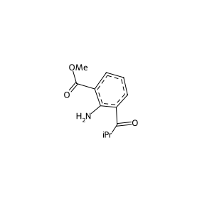 COC(=O)c1cccc(C(=O)C(C)C)c1N